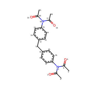 CC(=O)N(C(C)=O)c1ccc(Cc2ccc(N(C(C)=O)C(C)=O)cc2)cc1